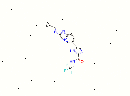 O=C(NCC(F)(F)F)c1ncc(-c2ccc3nc(NCC4CC4)cn3c2)[nH]1